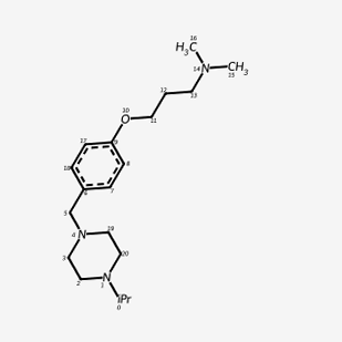 CC(C)N1CCN(Cc2ccc(OCCCN(C)C)cc2)CC1